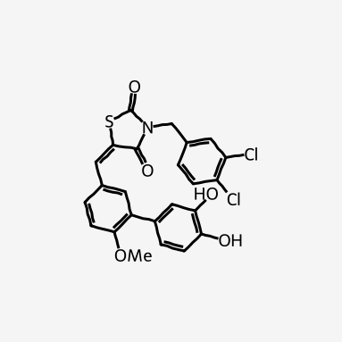 COc1ccc(C=C2SC(=O)N(Cc3ccc(Cl)c(Cl)c3)C2=O)cc1-c1ccc(O)c(O)c1